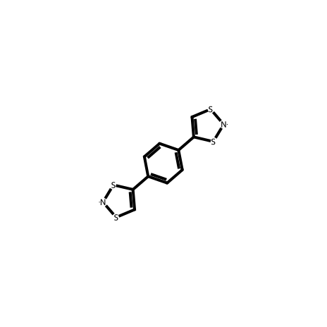 C1=C(c2ccc(C3=CS[N]S3)cc2)S[N]S1